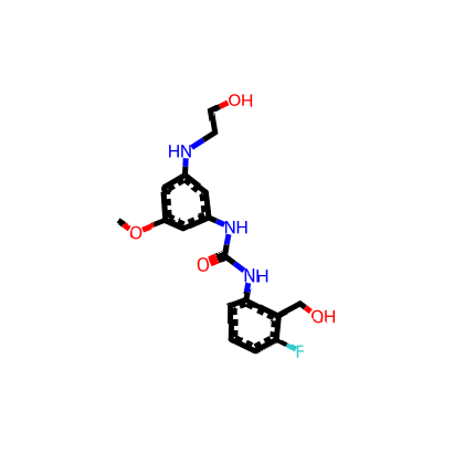 COc1cc(NCCO)cc(NC(=O)Nc2cccc(F)c2CO)c1